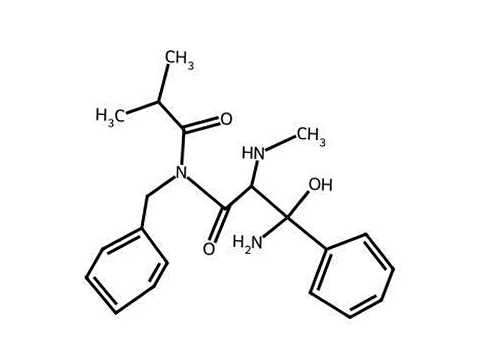 CNC(C(=O)N(Cc1ccccc1)C(=O)C(C)C)C(N)(O)c1ccccc1